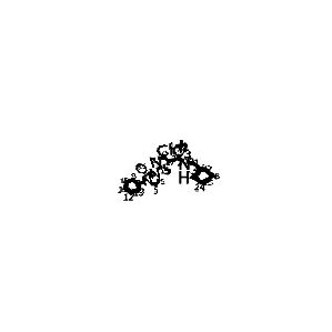 CC1N=C(N2CCN(c3ccccc3)C2=O)SC1C(=O)NCc1ccccc1